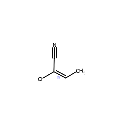 C/C=C(/Cl)C#N